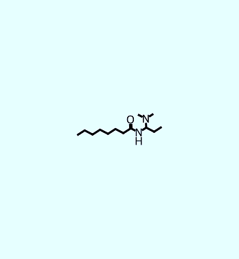 CCCCCCCC(=O)NC(CC)N(C)C